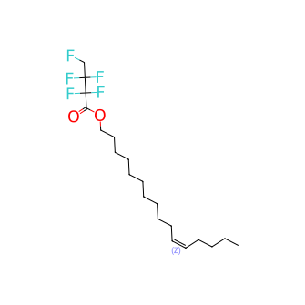 CCCC/C=C\CCCCCCCCCCOC(=O)C(F)(F)C(F)(F)CF